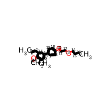 C/C=C/c1cc(-c2ccc(OCCOCCCC)cc2)cc(C)c1OC